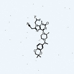 CC(c1ccc2c(c1)OC(C)(C)CO2)N1C[C@H](C)N(c2nc(=O)n(C)c3c2nc(CC#N)n3CC(F)F)C[C@H]1C